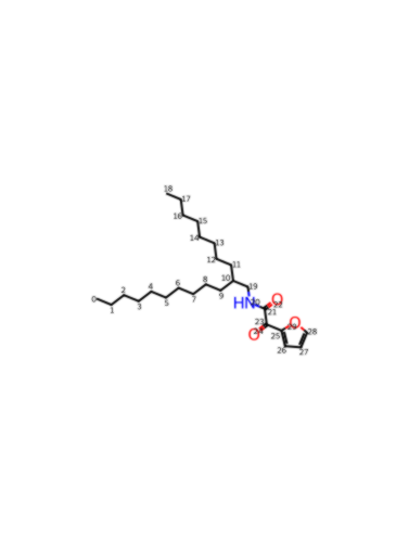 CCCCCCCCCCC(CCCCCCCC)CNC(=O)C(=O)c1ccco1